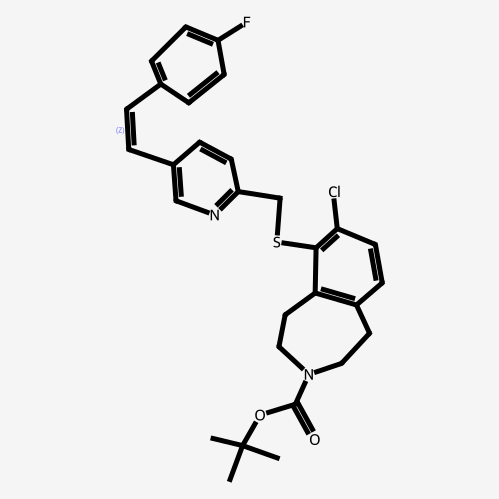 CC(C)(C)OC(=O)N1CCc2ccc(Cl)c(SCc3ccc(/C=C\c4ccc(F)cc4)cn3)c2CC1